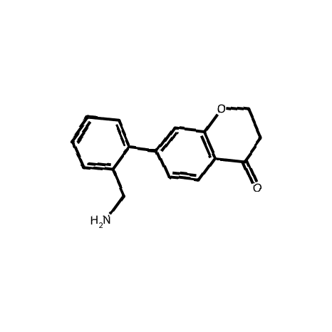 NCc1ccccc1-c1ccc2c(c1)OCCC2=O